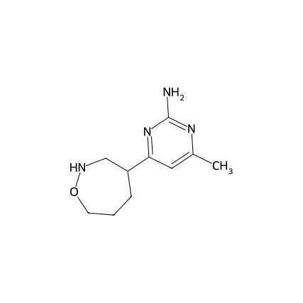 Cc1cc(C2CCCONC2)nc(N)n1